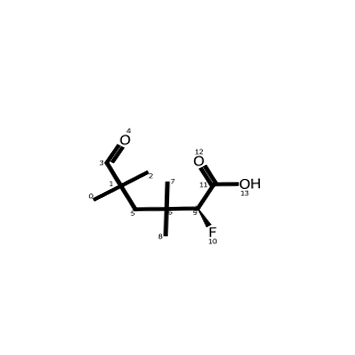 CC(C)(C=O)CC(C)(C)[C@H](F)C(=O)O